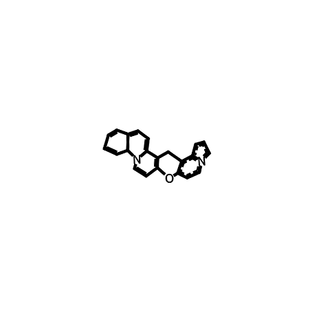 C1=CC2=CC=C3C4=C(C=CN3C2C=C1)Oc1ccn2cccc2c1C4